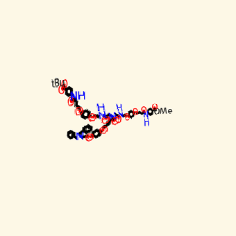 COC(=O)C1CCC(NC(=O)CCCOC2CCC(OCCNC(=O)CN(CC(=O)NCCOC3CCC(OCCCC(=O)NC4CCC(C(=O)OC(C)(C)C)CC4)CC3)C(=O)/C=C/COC3CCC(OCCN(Cc4ccccc4)Cc4ccccc4)CC3)CC2)CC1